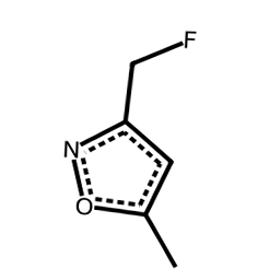 Cc1cc(CF)no1